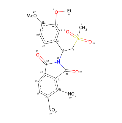 CCOc1cc(C(CS(C)(=O)=O)N2C(=O)c3ccc([N+](=O)[O-])c([N+](=O)[O-])c3C2=O)ccc1OC